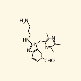 Cc1nc(C)c(Cn2c(NCCCN)nc3ccc(C=O)cc32)nc1C